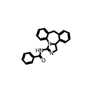 O=C(NC1=NCC2c3ccccc3Cc3ccccc3N12)c1ccccc1